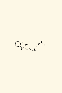 C=CN(CCNC(=C)CSCC(=C)N)C(=C)C1CCCCC1C